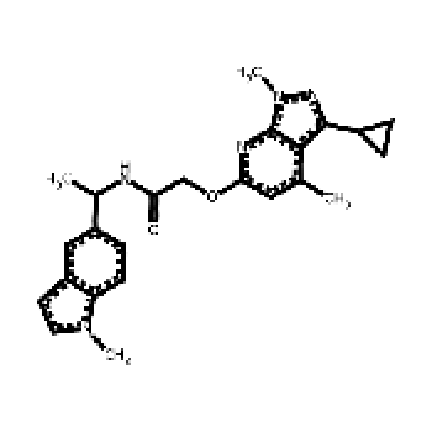 Cc1cc(OCC(=O)NC(C)c2ccc3c(ccn3C)c2)nc2c1c(C1CC1)nn2C